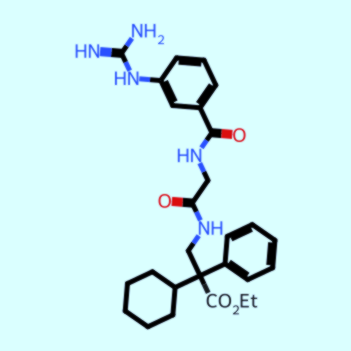 CCOC(=O)C(CNC(=O)CNC(=O)c1cccc(NC(=N)N)c1)(c1ccccc1)C1CCCCC1